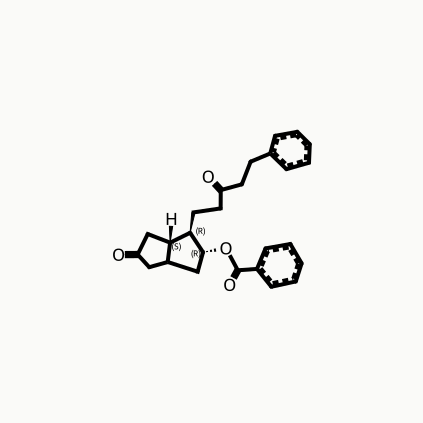 O=C(CCc1ccccc1)CC[C@H]1[C@H](OC(=O)c2ccccc2)CC2CC(=O)C[C@@H]21